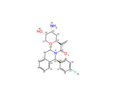 C=C(C(=O)N1CCc2ccccc2[C@@H]1c1ccc(F)cc1)[C@@H]1C[C@@H](N)[C@@H](O)CO1